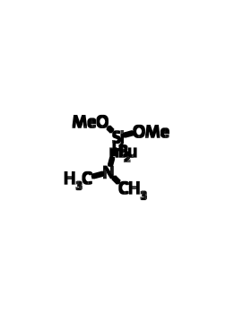 CCCCN(C)C.CO[SiH2]OC